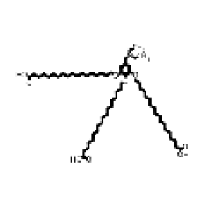 CCN(CC)Cc1cc(OCCCCCCCCCCCCCCCCCC(=O)O)c(OCCCCCCCCCCCCCCCCCC(=O)O)c(OCCCCCCCCCCCCCCCCCC(=O)O)c1